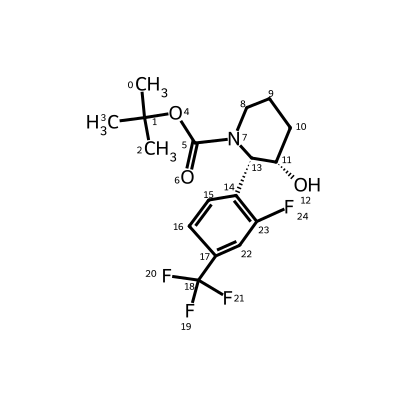 CC(C)(C)OC(=O)N1CCC[C@H](O)[C@@H]1c1ccc(C(F)(F)F)cc1F